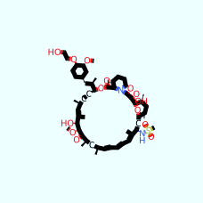 CO[C@@H]1C[C@H](C[C@@H](C)[C@@H]2CC[C@H](C)/C=C(\C)[C@@H](O)[C@@H](OC)C(=O)[C@H](C)C[C@H](C)/C=C/C=C/C=C(\C)[C@@H](NS(C)(=O)=O)C[C@@H]3CC[C@@H](C)[C@@](O)(O3)C(=O)C(=O)N3CCCC[C@H]3C(=O)O2)CC[C@H]1OCCO